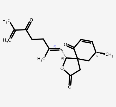 C=C(C)C(=O)CC/C(C)=C/[C@H]1OC(=O)CC12C[C@H](C)C=CC2=O